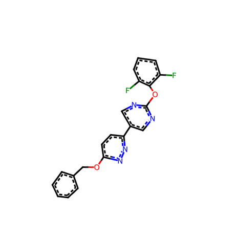 Fc1cccc(F)c1Oc1ncc(-c2ccc(OCc3ccccc3)nn2)cn1